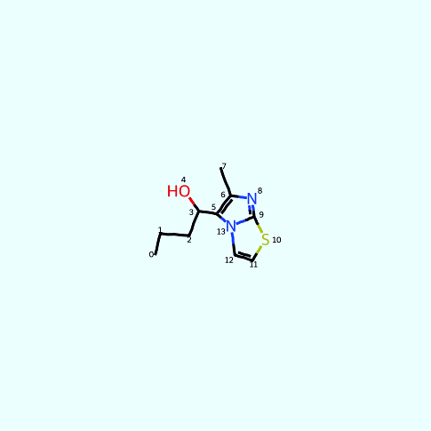 CCCC(O)c1c(C)nc2sccn12